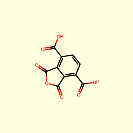 O=C(O)c1ccc(C(=O)O)c2c1C(=O)OC2=O